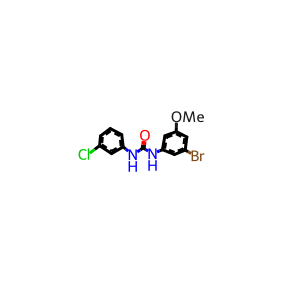 COc1cc(Br)cc(NC(=O)Nc2cccc(Cl)c2)c1